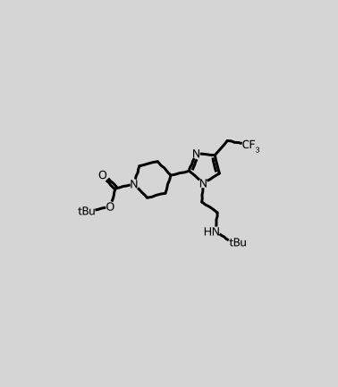 CC(C)(C)NCCn1cc(CC(F)(F)F)nc1C1CCN(C(=O)OC(C)(C)C)CC1